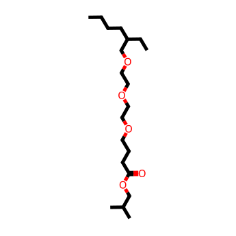 CCCCC(CC)COCCOCCOCCCC(=O)OCC(C)C